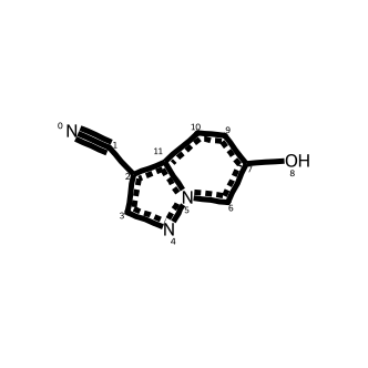 N#Cc1cnn2cc(O)ccc12